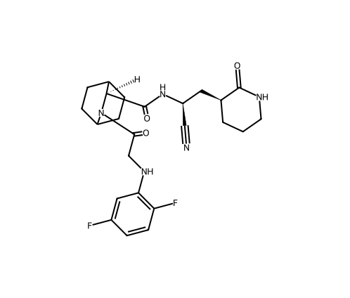 N#C[C@H](C[C@@H]1CCCNC1=O)NC(=O)[C@@H]1C2CCC(CC2)N1C(=O)CNc1cc(F)ccc1F